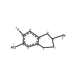 CCCC1CCc2cc(O)c(F)cc2C1